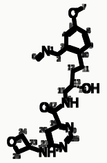 C=NCc1cc(OC)ccc1CC[C@H](O)CNC(=O)c1cc(NC2COC2)ncn1